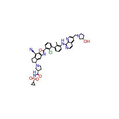 Cc1c(Nc2nccc3cc(CN4CC[C@@H](O)C4)cnc23)cccc1-c1cccc(-c2nc3cc4c(c(C#N)c3o2)CC[C@H]4N2CC[C@@H](C(=O)NS(=O)(=O)C3CC3)C2)c1Cl